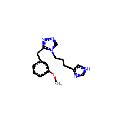 COc1cccc(Cc2nncn2CCCc2c[nH]cn2)c1